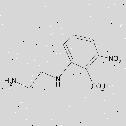 NCCNc1cccc([N+](=O)[O-])c1C(=O)O